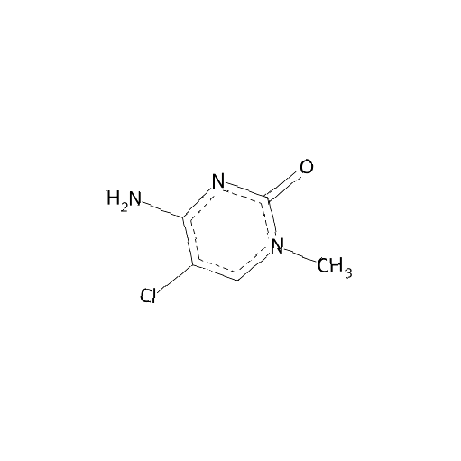 Cn1cc(Cl)c(N)nc1=O